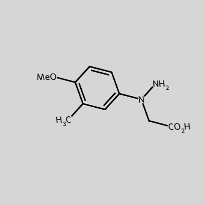 COc1ccc(N(N)CC(=O)O)cc1C